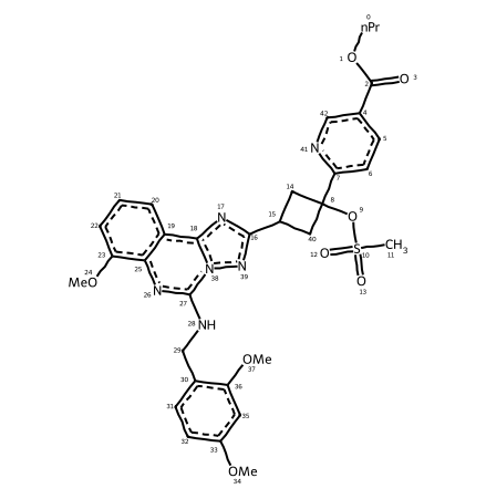 CCCOC(=O)c1ccc(C2(OS(C)(=O)=O)CC(c3nc4c5cccc(OC)c5nc(NCc5ccc(OC)cc5OC)n4n3)C2)nc1